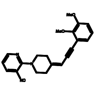 COc1cccc(C#CC=C2CCN(c3ncccc3N=O)CC2)c1OC